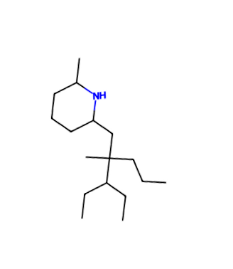 CCCC(C)(CC1CCCC(C)N1)C(CC)CC